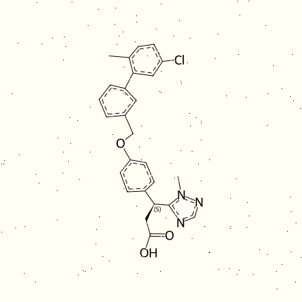 Cc1ccc(Cl)cc1-c1cccc(COc2ccc([C@H](CC(=O)O)c3ncnn3C)cc2)c1